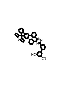 N#Cc1cc(C#N)cc(-c2cccc(-c3nnc(-c4cccc(-c5ccc6c(c5)-c5ccccc5C65c6ccccc6Sc6ccccc65)c4)c(-c4ccccc4)n3)c2)c1